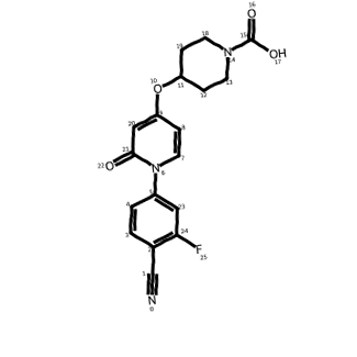 N#Cc1ccc(-n2ccc(OC3CCN(C(=O)O)CC3)cc2=O)cc1F